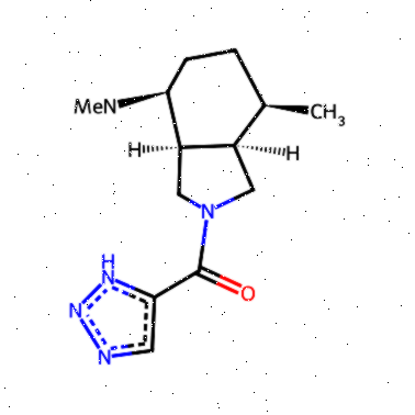 CN[C@H]1CC[C@@H](C)[C@H]2CN(C(=O)c3cnn[nH]3)C[C@H]21